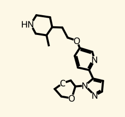 CC1CNCCC1CCOc1ccc(-c2ccnn2C2CCCCO2)nc1